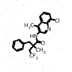 Cc1c(NC(=O)C(C)(Cc2ccccc2)CC(F)(F)F)cnc2c(Cl)cccc12